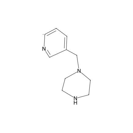 [c]1ccc(CN2CCNCC2)cn1